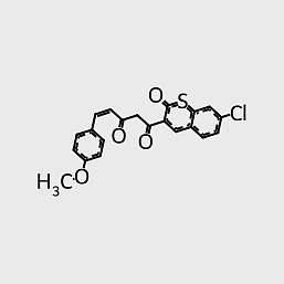 COc1ccc(/C=C\C(=O)CC(=O)c2cc3ccc(Cl)cc3sc2=O)cc1